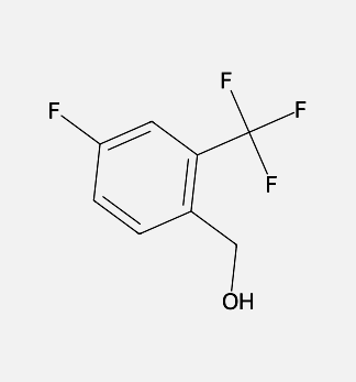 OCc1ccc(F)cc1C(F)(F)F